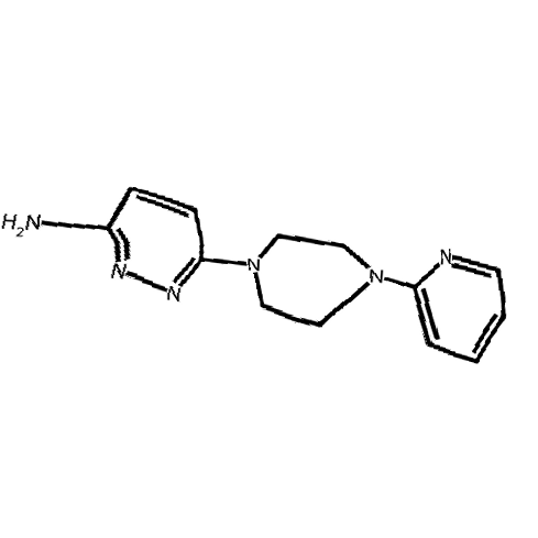 Nc1ccc(N2CCN(c3ccccn3)CC2)nn1